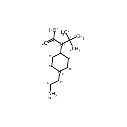 CC(C)(C)N(C(=O)O)C1CCN(CCN)CC1